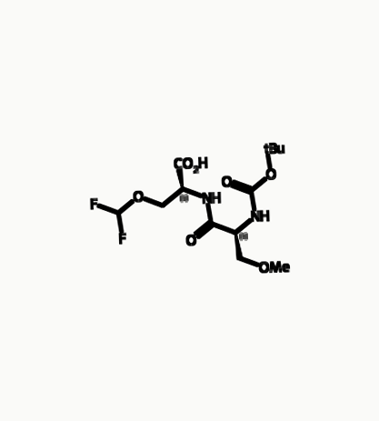 COC[C@H](NC(=O)OC(C)(C)C)C(=O)N[C@@H](COC(F)F)C(=O)O